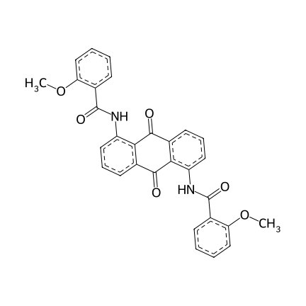 COc1ccccc1C(=O)Nc1cccc2c1C(=O)c1cccc(NC(=O)c3ccccc3OC)c1C2=O